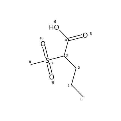 CCCC(C(=O)O)S(C)(=O)=O